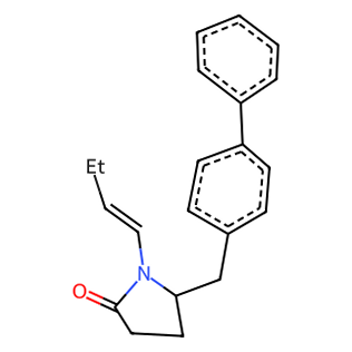 CCC=CN1C(=O)CCC1Cc1ccc(-c2ccccc2)cc1